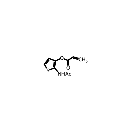 C=CC(=O)Oc1ccsc1NC(C)=O